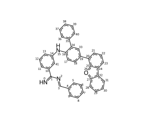 N=C(/N=C/c1ccccc1)c1cccc(Nc2ccc(-c3cccc4c3oc3ccccc34)cc2-c2ccccc2)c1